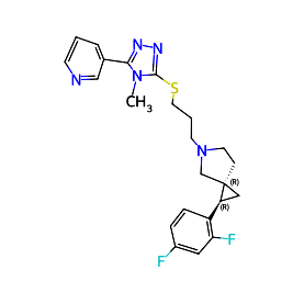 Cn1c(SCCCN2CC[C@@]3(C[C@H]3c3ccc(F)cc3F)C2)nnc1-c1cccnc1